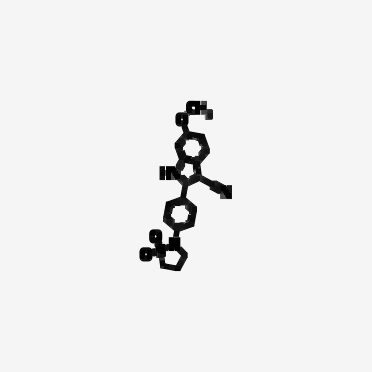 COc1ccc2c(C#N)c(-c3ccc(N4CCCS4(=O)=O)cc3)[nH]c2c1